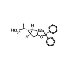 CC(C(=O)O)[C@H]1[C@@H]2CC(O[Si](c3ccccc3)(c3ccccc3)C(C)(C)C)C[C@@H]21